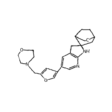 c1nc2c(cc1-c1coc(CN3CCOCC3)c1)CC1(CC3CCC1CC3)N2